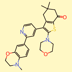 CN1CCOc2cc(-c3cc(-c4c(N5CCOCC5)sc5c4CC(C)(C)CC5=O)ccn3)ccc21